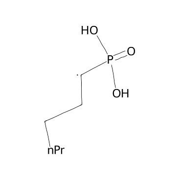 CCCCC[CH]P(=O)(O)O